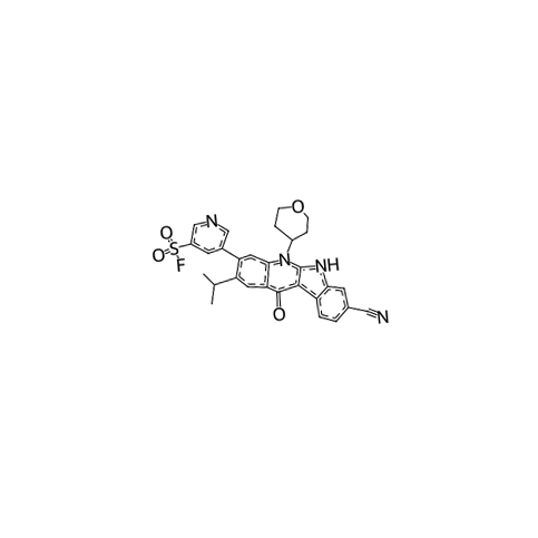 CC(C)c1cc2c(=O)c3c4ccc(C#N)cc4[nH]c3n(C3CCOCC3)c2cc1-c1cncc(S(=O)(=O)F)c1